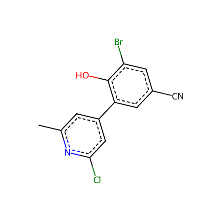 Cc1cc(-c2cc(C#N)cc(Br)c2O)cc(Cl)n1